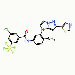 Cc1ccc(NC(=O)c2cc(Cl)cc(S(F)(F)(F)(F)F)c2)cc1-n1ccn2nc(-c3cncs3)cc12